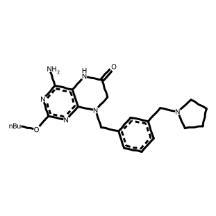 CCCCOc1nc(N)c2c(n1)N(Cc1cccc(CN3CCCC3)c1)CC(=O)N2